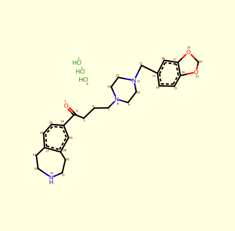 Cl.Cl.Cl.O=C(CCCN1CCN(Cc2ccc3c(c2)OCO3)CC1)c1ccc2c(c1)CCNCC2